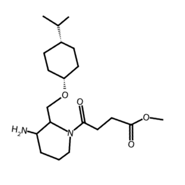 COC(=O)CCC(=O)N1CCCC(N)C1CO[C@H]1CC[C@@H](C(C)C)CC1